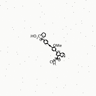 COc1cc(-c2cc(C(=O)NNCl)c3cnccc3n2)ccc1C#Cc1ccc(C(=O)N2CCCCC2C(=O)O)cc1